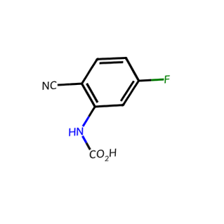 N#Cc1ccc(F)cc1NC(=O)O